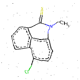 CN1C(=S)c2cccc3c(Cl)ccc1c23